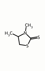 CC1CSC(=S)N1C